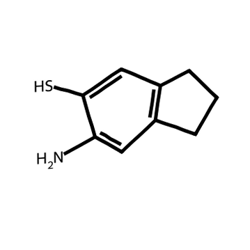 Nc1cc2c(cc1S)CCC2